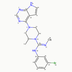 CC1CN(c2ncnc3[nH]ccc23)CCN1/C(=N\C#N)Nc1cccc(Br)c1